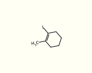 CC1=C(I)CCCC1